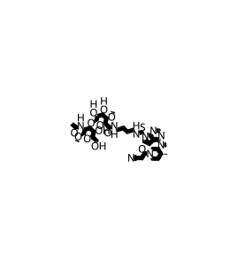 CO[C@@H]1OC(CO)[C@@H](O)[C@H](O[C@@H]2OC(C(=O)NCCCCNC(=S)n3ccc4c(N(C)[C@H]5CN(C(=O)CC#N)CC[C@H]5C)ncnc43)[C@@H](OC)[C@H](O)C2O)C1NC(C)=O